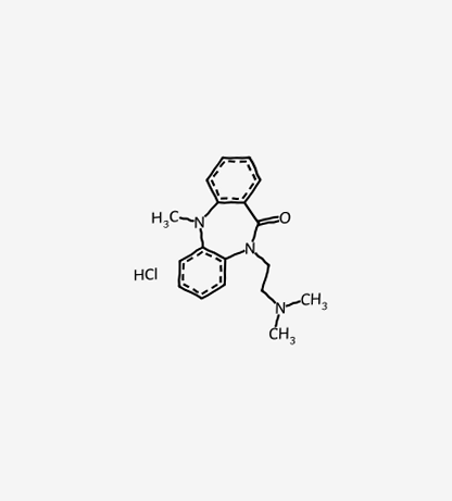 CN(C)CCN1C(=O)c2ccccc2N(C)c2ccccc21.Cl